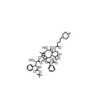 CC(=O)O[C@@]12CO[C@@H]1C[C@H](OC(=O)CCCN1CCN(C)CC1)[C@@]1(C)C(=O)[C@H](O)C3=C(C)[C@@H](OC(=O)[C@H](O)[C@@H](NC(=O)OC(C)(C)C)c4ccccc4)C[C@@](O)([C@@H](OC(=O)c4ccccc4)C12)C3(C)C